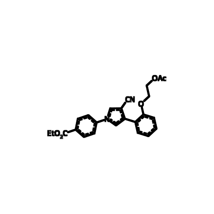 CCOC(=O)c1ccc(-n2cc(C#N)c(-c3ccccc3OCCOC(C)=O)c2)cc1